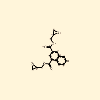 O=C(OCC1CO1)c1cc(C(=O)OCC2CO2)c2ccccc2c1